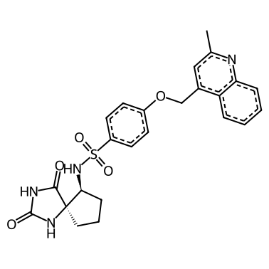 Cc1cc(COc2ccc(S(=O)(=O)N[C@H]3CCC[C@@]34NC(=O)NC4=O)cc2)c2ccccc2n1